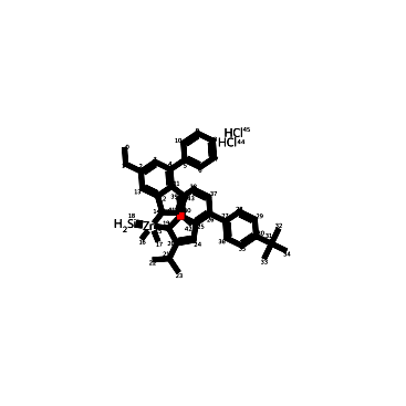 CCc1cc(-c2ccccc2)c2c(c1)[CH]([Zr]([CH3])([CH3])(=[SiH2])[CH]1C(C(C)C)=Cc3c(-c4ccc(C(C)(C)C)cc4)cccc31)C(C)=C2.Cl.Cl